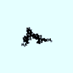 CCCC(=O)N[C@@H](c1cnn2cc([C@@H](NC(=O)c3cncc(CC)c3)C3CCC(F)(F)CC3)nc2c1)C1CC1